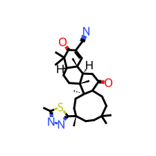 Cc1nnc([C@@]2(C)CCC(C)(C)CCC3C(=O)C[C@@H]4[C@@]5(C)C=C(C#N)C(=O)C(C)(C)[C@@H]5CC[C@@]4(C)[C@]3(C)CC2)s1